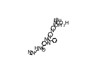 CC(C)(C)N(CC1(O)CCN(C2CCN(c3nc4ccc(C(=O)NCCCn5ccnc5)cc4nc3-c3ccccc3)CC2)CC1)C(=O)O